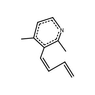 C=C/C=C\c1c(C)ccnc1C